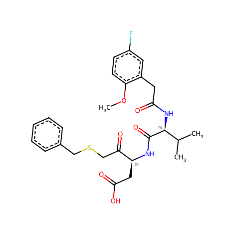 COc1ccc(F)cc1CC(=O)N[C@H](C(=O)N[C@@H](CC(=O)O)C(=O)CSCc1ccccc1)C(C)C